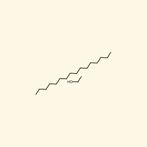 CCCCCCCCCCCCCCCC.CCO